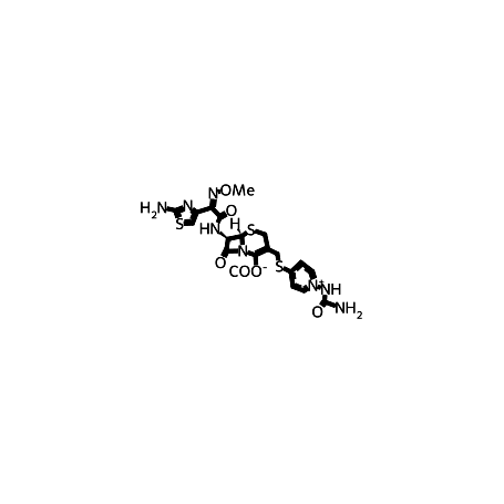 CO/N=C(\C(=O)N[C@@H]1C(=O)N2C(C(=O)[O-])=C(CSc3cc[n+](NC(N)=O)cc3)CS[C@H]12)c1csc(N)n1